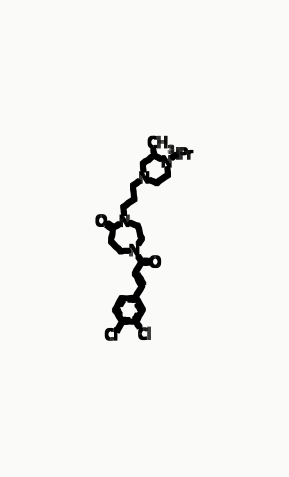 CC(C)N1CCN(CCCN2CCN(C(=O)/C=C/c3ccc(Cl)c(Cl)c3)CCC2=O)CC1C